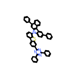 C1=CCCC(c2nc(-c3ccccc3)nc(-c3ccc4c(c3)sc3c(-n5c6ccc(-c7ccccc7)cc6c6c7ccccc7c(-c7ccccc7)cc65)cccc34)n2)=C1